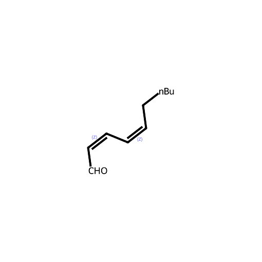 CCCCC/C=C\C=C/C=O